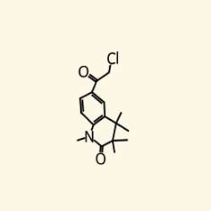 CN1C(=O)C(C)(C)C(C)(C)c2cc(C(=O)CCl)ccc21